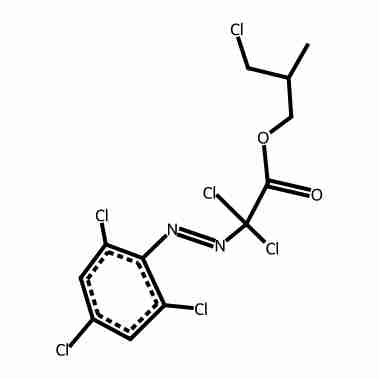 CC(CCl)COC(=O)C(Cl)(Cl)N=Nc1c(Cl)cc(Cl)cc1Cl